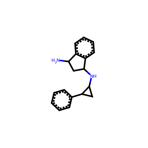 NC1CC(NC2CC2c2ccccc2)c2ccccc21